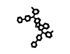 Cc1cccc(N(c2ccc(-c3ccccc3)cc2)c2ccc3c(c2)oc2cc(N(c4ccc(-c5ccccc5)cc4)c4cccc(C)c4)c4ccccc4c23)c1